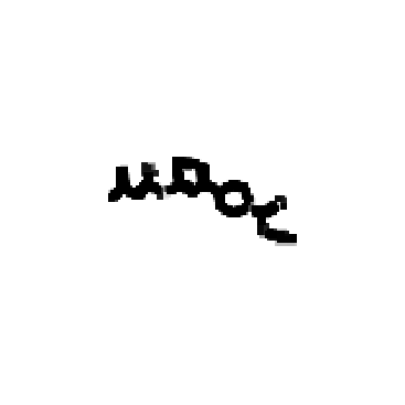 C=C(C)/C=C(\CC)Oc1cccc(C2CCN(C(=O)OC(C)(C)C)CC2)c1